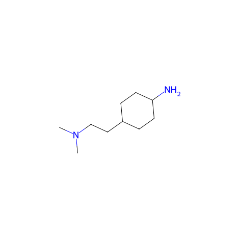 CN(C)CCC1CCC(N)CC1